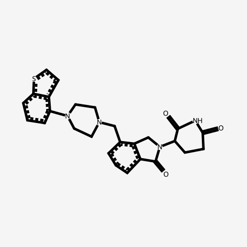 O=C1CCC(N2Cc3c(CN4CCN(c5cccc6sccc56)CC4)cccc3C2=O)C(=O)N1